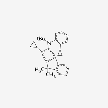 CC1(C)c2ccccc2-c2cc(N(c3ccccc3C3CC3)C(C)(C)C)c(C3CC3)cc21